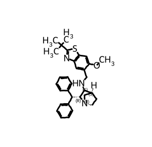 COc1cc2sc(C(C)(C)C)nc2cc1CN[C@H]1[C@H]2CC[N@@](C2)[C@@H]1C(c1ccccc1)c1ccccc1